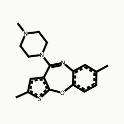 Cc1ccc2c(c1)N=C(N1CCN(C)CC1)c1cc(C)sc1O2